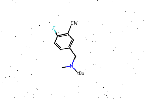 CN(Cc1ccc(F)c(C#N)c1)C(C)(C)C